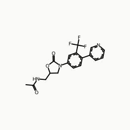 CC(=O)NCC1CN(c2ccc(-c3cccnc3)c(C(F)(F)F)c2)C(=O)O1